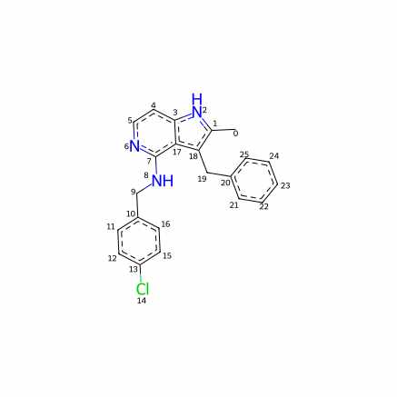 Cc1[nH]c2ccnc(NCc3ccc(Cl)cc3)c2c1Cc1ccccc1